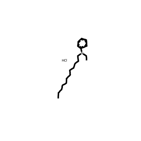 CCCCCCCCCCCCN(CC)c1ccccc1.Cl